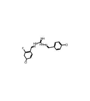 N=C(N/N=C/C1=C(F)CC(Cl)C=C1)N/N=C/c1ccc(Cl)cc1